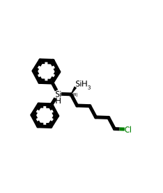 [SiH3][C@@H](CCCCCCl)[SiH](c1ccccc1)c1ccccc1